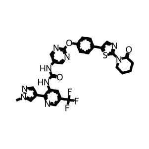 Cn1cc(-c2ncc(C(F)(F)F)cc2NC(=O)Nc2cnc(Oc3ccc(-c4cnc(N5CCCCC5=O)s4)cc3)nc2)cn1